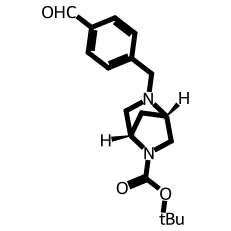 CC(C)(C)OC(=O)N1C[C@@H]2C[C@H]1CN2Cc1ccc(C=O)cc1